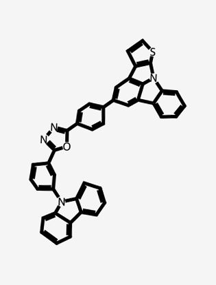 c1cc(-c2nnc(-c3ccc(-c4cc5c6ccccc6n6c7sccc7c(c4)c56)cc3)o2)cc(-n2c3ccccc3c3ccccc32)c1